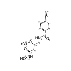 C#Cc1ccc(C(=O)NCC(CC(=O)NO)OC(C)(C)C)cc1